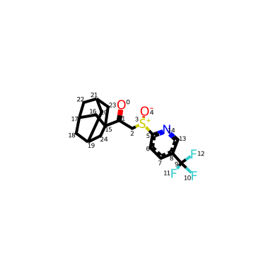 O=C(C[S+]([O-])c1ccc(C(F)(F)F)cn1)C12CC3CC(CC(C3)C1)C2